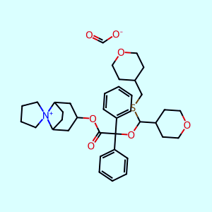 O=C(OC1CC2CCC(C1)[N+]21CCCC1)C(OC(SCC1CCOCC1)C1CCOCC1)(c1ccccc1)c1ccccc1.O=C[O-]